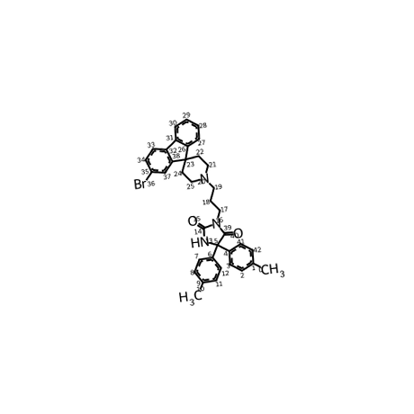 Cc1ccc(C2(c3ccc(C)cc3)NC(=O)N(CCCN3CCC4(CC3)c3ccccc3-c3ccc(Br)cc34)C2=O)cc1